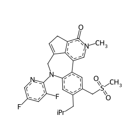 CC(C)Cc1cc2c(cc1CS(C)(=O)=O)-c1cn(C)c(=O)c3c1C(=CC3)CN2c1ncc(F)cc1F